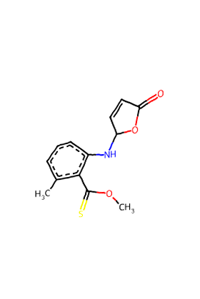 COC(=S)c1c(C)cccc1NC1C=CC(=O)O1